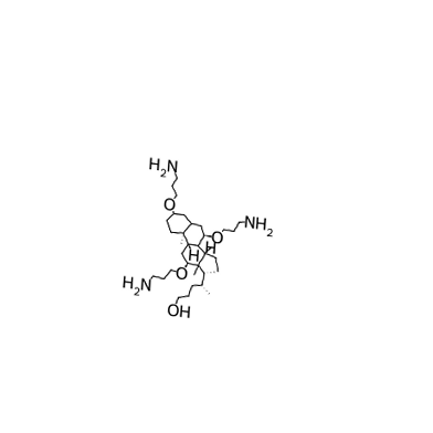 C[C@H](CCCO)[C@H]1CC[C@H]2C3[C@H](OCCCN)CC4C[C@H](OCCCN)CC[C@]4(C)[C@H]3C[C@H](OCCCN)C12C